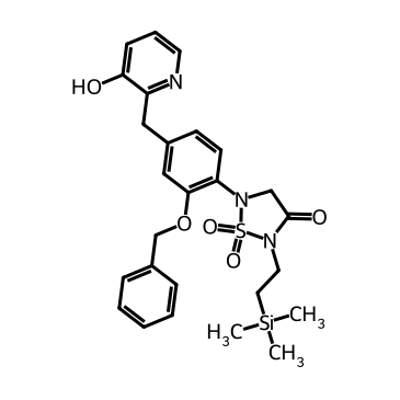 C[Si](C)(C)CCN1C(=O)CN(c2ccc(Cc3ncccc3O)cc2OCc2ccccc2)S1(=O)=O